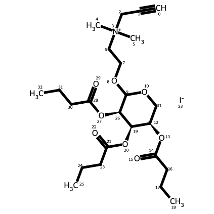 C#CC[N+](C)(C)CCOC1OC[C@@H](OC(=O)CCC)[C@@H](OC(=O)CCC)[C@H]1OC(=O)CCC.[I-]